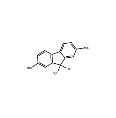 CC(C)(C)c1ccc2c(c1)C(C)(O)c1cc(C(C)(C)C)ccc1-2